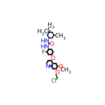 COc1cc2c(Oc3ccc(NC(=O)NC4CC(C)CC(C)(C)C4)c(F)c3)ccnc2cc1OCCCl